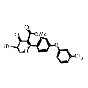 COC(=O)C1=C(c2ccc(Oc3cccc(C(F)(F)F)c3)cc2)OCC(C(C)C)C1=O